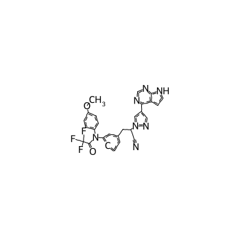 COc1ccc(N(C(=O)C(F)(F)F)c2cccc(CC(C#N)n3cc(-c4ncnc5[nH]ccc45)cn3)c2)cc1